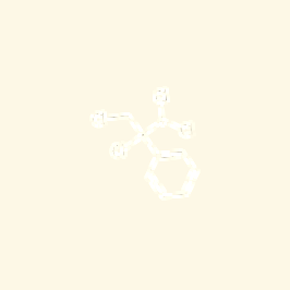 ClCC(Cl)([C](Cl)Cl)c1ccccc1